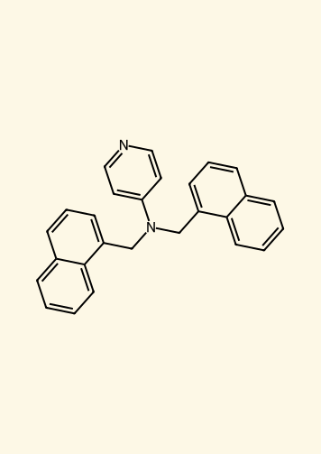 c1ccc2c(CN(Cc3cccc4ccccc34)c3ccncc3)cccc2c1